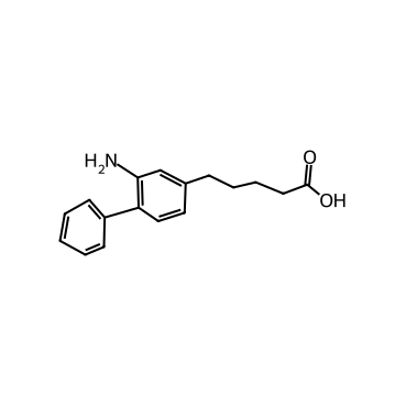 Nc1cc(CCCCC(=O)O)ccc1-c1ccccc1